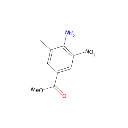 COC(=O)c1cc(C)c(N)c([N+](=O)[O-])c1